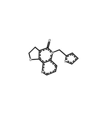 O=c1c2c(c3ncccc3n1Cc1cccs1)OCC2